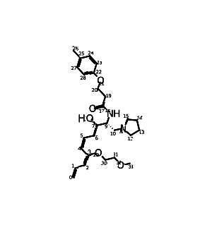 C=C/C=C(\C=C/C[C@@H](O)[C@@H](CN1CCCC1)NC(=O)CCOc1ccc(C)cc1)OCCOC